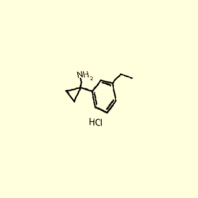 CCc1cccc(C2(N)CC2)c1.Cl